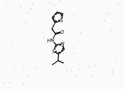 CC(C)c1cnc(NC(=O)Cc2cccs2)s1